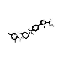 Cc1cnc(N[C@@H]2CCN(S(=O)(=O)c3ccc(-c4cnc(C(N)=O)n4C)cc3)C[C@@H]2O)c(C)c1